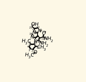 COc1ccc(C)c(-n2c(N)c(C(N)=O)c3c2ncn2c(CO)cnc32)c1C